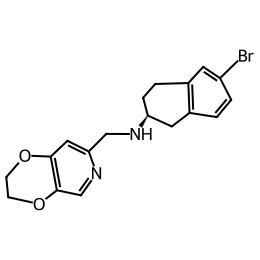 Brc1ccc2c(c1)CC[C@H](NCc1cc3c(cn1)OCCO3)C2